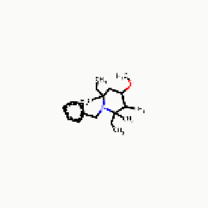 CCC1(C)CC(OC)C(C)C(C)(CC)N1Cc1ccccc1